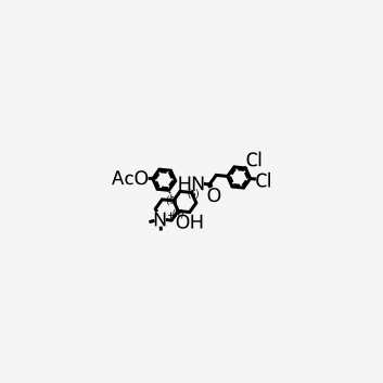 CC(=O)Oc1cccc([C@@]23CC[N+](C)(C)C[C@@]2(O)CC[C@H](NC(=O)Cc2ccc(Cl)c(Cl)c2)C3)c1